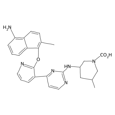 Cc1ccc2c(N)cccc2c1Oc1ncccc1-c1ccnc(NC2CC(C)CN(C(=O)O)C2)n1